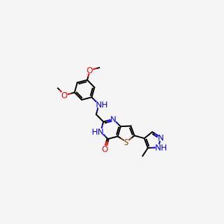 COc1cc(NCc2nc3cc(-c4cn[nH]c4C)sc3c(=O)[nH]2)cc(OC)c1